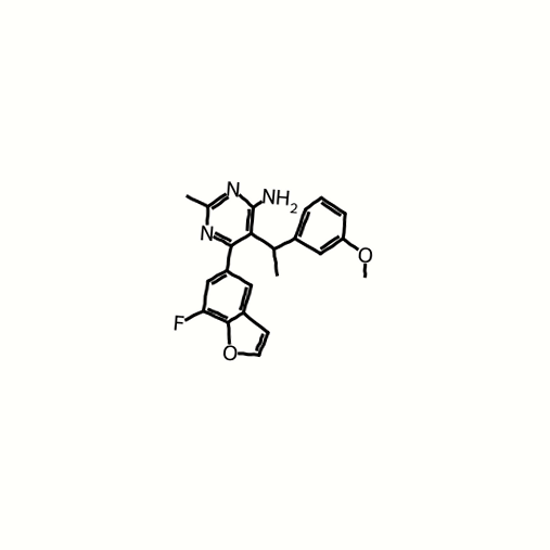 COc1cccc(C(C)c2c(N)nc(C)nc2-c2cc(F)c3occc3c2)c1